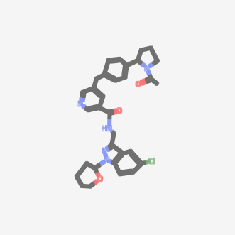 CC(=O)N1CCCC1c1ccc(Cc2cncc(C(=O)NCc3nn(C4CCCCO4)c4ccc(Cl)cc34)c2)cc1